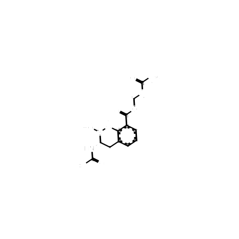 CCC(=O)N[C@H]1Cc2cccc(C(=O)OCOC(=O)C(C)(C)C)c2OB1O